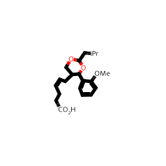 COc1ccccc1C1OC(CC(C)C)OCC1C/C=C\CCC(=O)O